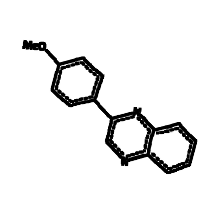 COc1ccc(-c2cnc3ccccc3n2)cc1